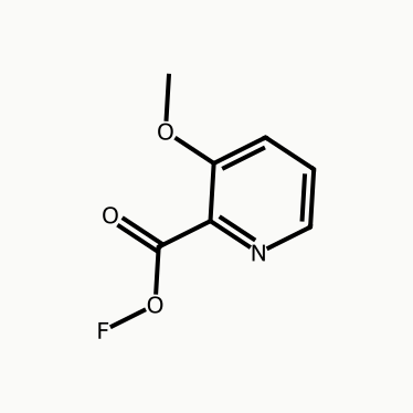 COc1cccnc1C(=O)OF